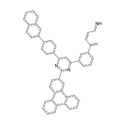 C=C(/C=C\C=N)c1cccc(-c2cc(-c3ccc(-c4ccc5ccccc5c4)cc3)nc(-c3ccc4c5ccccc5c5ccccc5c4c3)n2)c1